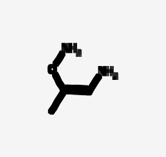 CC(=CN)ON